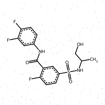 CC(CO)NS(=O)(=O)c1ccc(F)c(C(=O)Nc2ccc(F)c(F)c2)c1